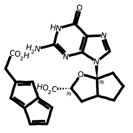 Nc1nc2c(ncn2[C@@]23CCCC2C[C@H](C(=O)O)O3)c(=O)[nH]1.O=C(O)CC1=CC2=CC=CC2=C1